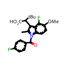 COc1ccc2c(c1F)c(C(C(=O)O)C(C)(C)C)c(C)n2C(=O)c1ccc(F)cc1